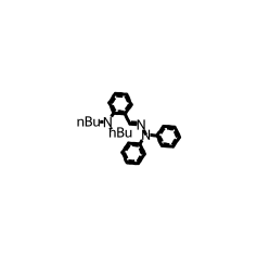 CCCCN(CCCC)c1ccccc1/C=N/N(c1ccccc1)c1ccccc1